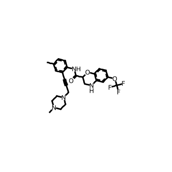 Cc1ccc(NC(=O)C2CNc3cc(OC(F)(F)F)ccc3O2)c(C#CCN2CCN(C)CC2)c1